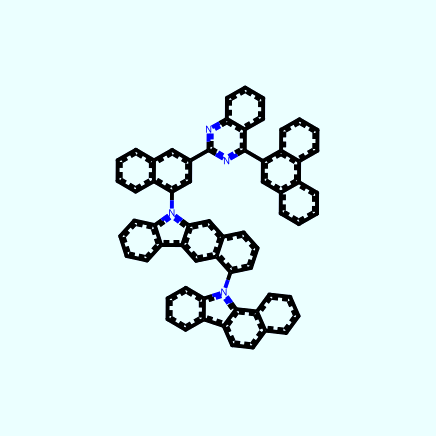 c1ccc2c(-n3c4ccccc4c4cc5c(-n6c7ccccc7c7ccc8ccccc8c76)cccc5cc43)cc(-c3nc(-c4cc5ccccc5c5ccccc45)c4ccccc4n3)cc2c1